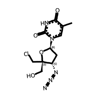 Cc1cn([C@H]2C[C@H](N=[N+]=[N-])[C@](CO)(CCl)O2)c(=O)[nH]c1=O